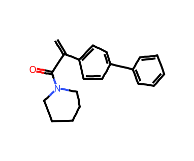 C=C(C(=O)N1CCCCC1)c1ccc(-c2ccccc2)cc1